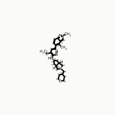 COc1cc(-c2ccc3nn(C)cc3c2C)nnc1N[C@H]1C[C@@H]2CN(CC3CCOCC3)C[C@@H]2C1